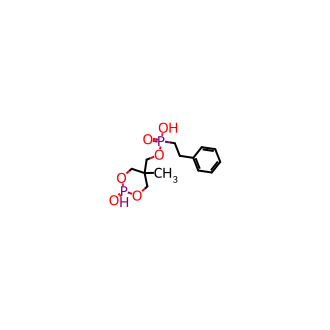 CC1(COP(=O)(O)CCc2ccccc2)CO[PH](=O)OC1